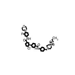 CCCS(=O)(=O)N1CCN(Cc2ccc(NC(=O)c3ccc(-c4cc(C(=O)Nc5ccc(N6CCOCC6)c(F)c5)ccc4Cl)cc3)cc2)CC1